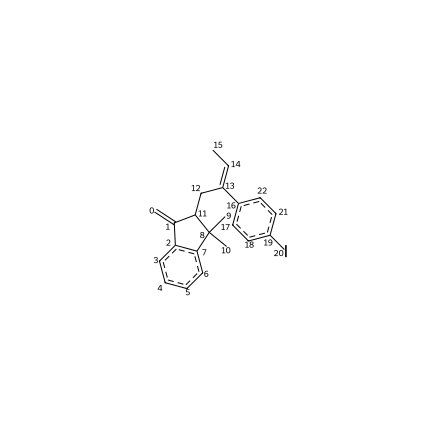 C=C1c2ccccc2C(C)(C)C1C/C(=C\C)c1ccc(I)cc1